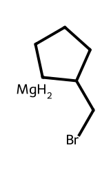 BrCC1CCCC1.[MgH2]